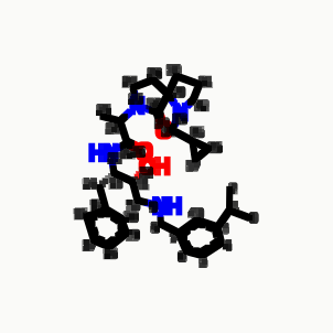 CC(C)c1cccc(CNC[C@@H](O)[C@H](Cc2ccccc2)NC(=O)C(C)N2CCC3(CCCN3CC3CC3)C2=O)c1